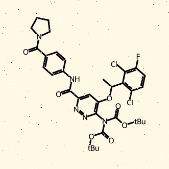 CC(Oc1cc(C(=O)Nc2ccc(C(=O)N3CCCC3)cc2)nnc1N(C(=O)OC(C)(C)C)C(=O)OC(C)(C)C)c1c(Cl)ccc(F)c1Cl